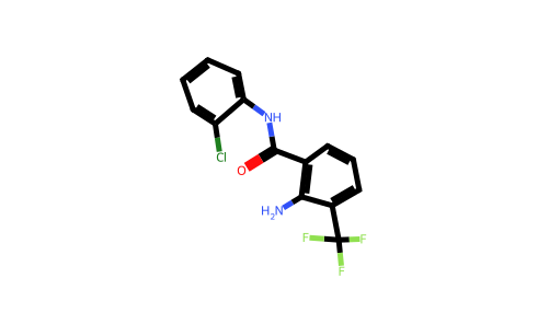 Nc1c(C(=O)Nc2ccccc2Cl)cccc1C(F)(F)F